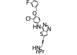 CCCNCC#Cc1cc2ncnc(Nc3ccc(OCc4cccc(F)c4)c(Cl)c3)c2s1